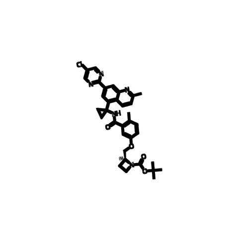 Cc1ccc2c(C3(NC(=O)c4cc(OC[C@@H]5CCN5C(=O)OC(C)(C)C)ccc4C)CC3)cc(-c3ncc(Cl)cn3)cc2n1